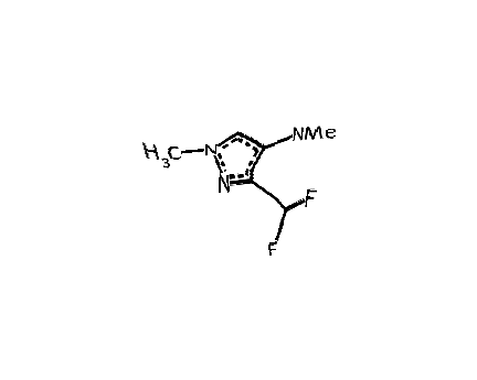 CNc1cn(C)nc1C(F)F